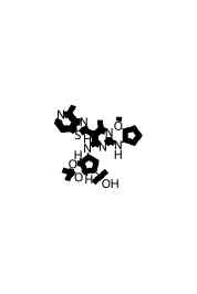 CO[C@@H]1CCC[C@@H]1Nc1nc(C)c(-c2nc3c(C)nccc3s2)c(N[C@@H]2C[C@H](C(C)(C)O)[C@H]3OC(C)(C)O[C@H]32)n1